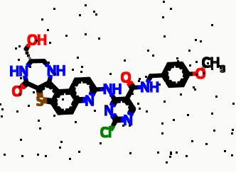 COc1ccc(CNC(=O)c2cnc(Cl)nc2Nc2ccc3c(ccc4sc5c(c43)NC[C@@H](CO)NC5=O)n2)cc1